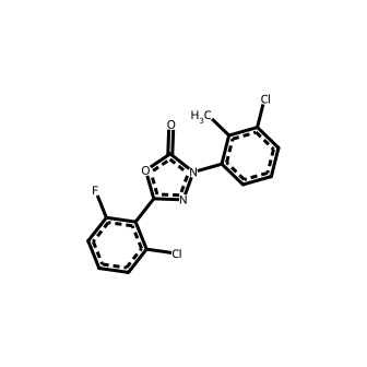 Cc1c(Cl)cccc1-n1nc(-c2c(F)cccc2Cl)oc1=O